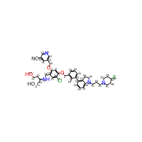 Cc1c(COc2cc(OCc3cncc(C#N)c3)c(CNC(CCO)C(=O)O)cc2Cl)cccc1-c1cccc2c1CCN2CCCN1CCC(F)CC1